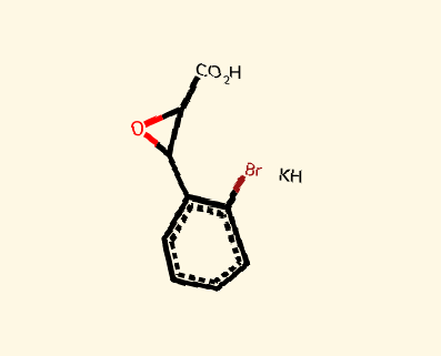 O=C(O)C1OC1c1ccccc1Br.[KH]